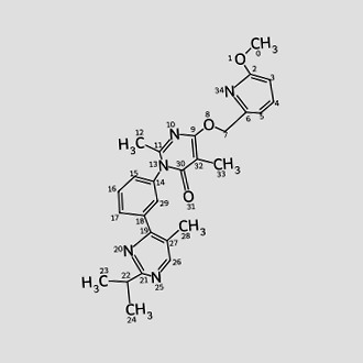 COc1cccc(COc2nc(C)n(-c3cccc(-c4nc(C(C)C)ncc4C)c3)c(=O)c2C)n1